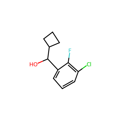 OC(c1cccc(Cl)c1F)C1CCC1